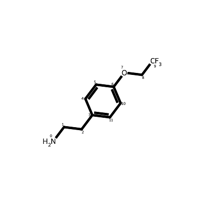 NCCc1ccc(OCC(F)(F)F)cc1